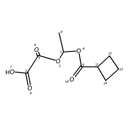 CC(OC(=O)C(=O)O)OC(=O)C1CCC1